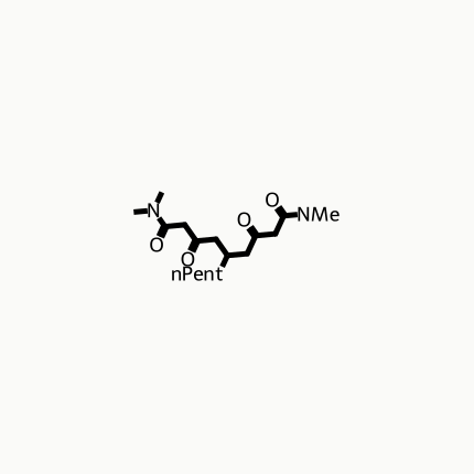 CCCCCC(CC(=O)CC(=O)NC)CC(=O)CC(=O)N(C)C